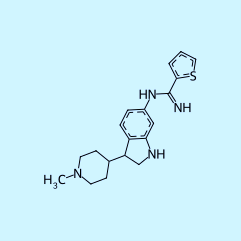 CN1CCC(C2CNc3cc(NC(=N)c4cccs4)ccc32)CC1